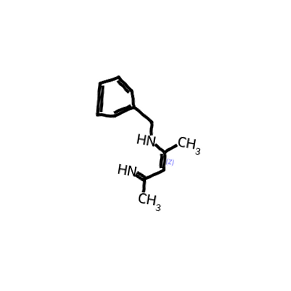 CC(=N)/C=C(/C)NCc1ccccc1